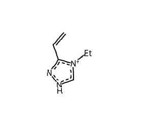 C=Cc1n[nH]c[n+]1CC